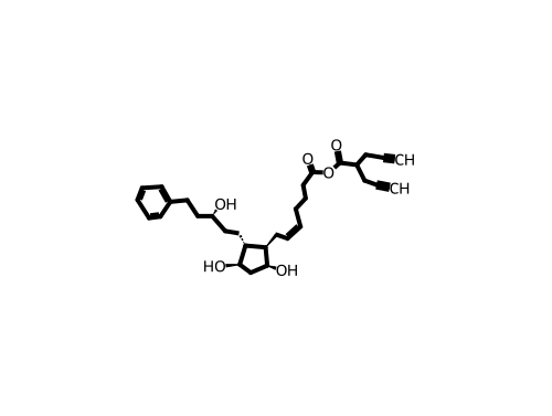 C#CCC(CC#C)C(=O)OC(=O)CCC/C=C\C[C@@H]1[C@@H](CC[C@@H](O)CCc2ccccc2)[C@H](O)C[C@@H]1O